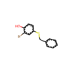 Oc1ccc(SCc2ccccc2)cc1Br